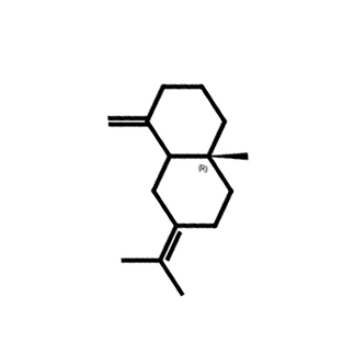 C=C1CCC[C@]2(C)CCC(=C(C)C)CC12